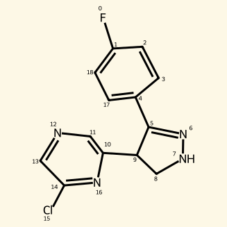 Fc1ccc(C2=NNCC2c2cncc(Cl)n2)cc1